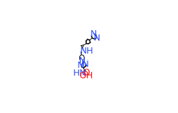 O=C(NO)c1cnc(N2CCC(CNC3CC3c3ccc(-c4cncnc4)cc3)CC2)nc1